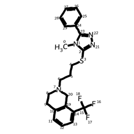 Cn1c(SCCCN2CCc3cccc(C(F)(F)F)c3C2)nnc1-c1ccccc1